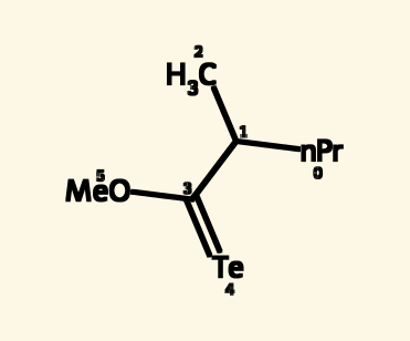 CCCC(C)C(=[Te])OC